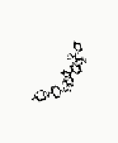 CN1CCN([C@H]2CC[C@@H](Nc3ncc4c(-c5ccc6ncc(C(=O)N7CCCC7)n6c5)ccn4n3)CC2)CC1